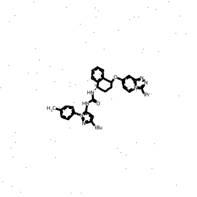 Cc1ccc(-n2nc(C(C)(C)C)cc2NC(=O)N[C@H]2CCC(Oc3ccn4c(C(C)C)nnc4c3)c3ccccc32)cc1